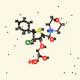 O=C(O)COc1c(C(=O)N2CCOCC2)sc(-c2ccccc2)c1Cl